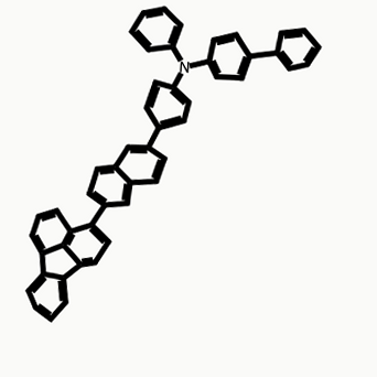 c1ccc(-c2ccc(N(c3ccccc3)c3ccc(-c4ccc5cc(-c6ccc7c8c(cccc68)-c6ccccc6-7)ccc5c4)cc3)cc2)cc1